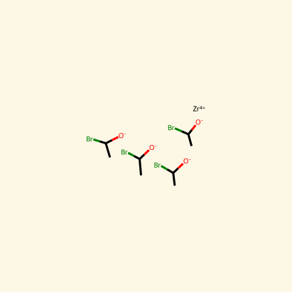 CC([O-])Br.CC([O-])Br.CC([O-])Br.CC([O-])Br.[Zr+4]